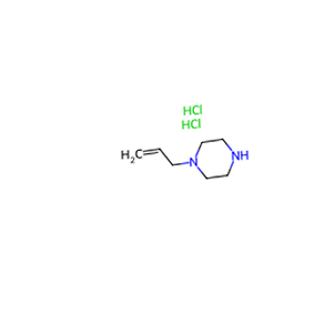 C=CCN1CCNCC1.Cl.Cl